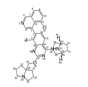 Fc1c(-c2cncc3cccc(Cl)c23)ccc2c(N3C[C@H]4CC[C@@H](C3)N4)nc(OCC34CCCN3CCC4)nc12